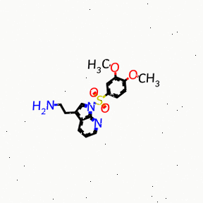 COc1ccc(S(=O)(=O)n2cc(CCN)c3cccnc32)cc1OC